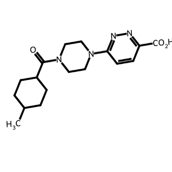 CC1CCC(C(=O)N2CCN(c3ccc(C(=O)O)nn3)CC2)CC1